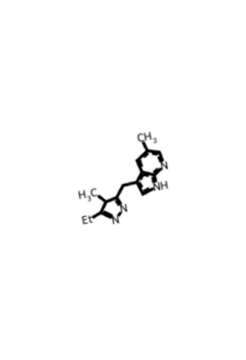 CCC1=NN=C(Cc2c[nH]c3ncc(C)cc23)C1C